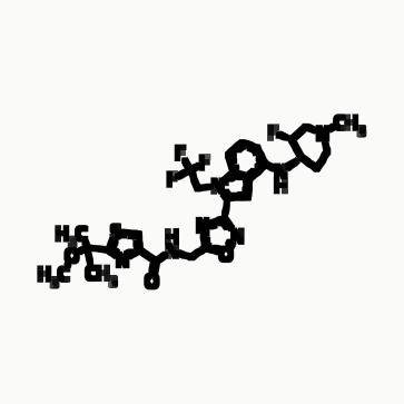 COC(C)(C)c1nc(C(=O)NCc2nc(-c3cc4c(N[C@@H]5CCN(C)C[C@@H]5F)cccc4n3CC(F)(F)F)no2)cs1